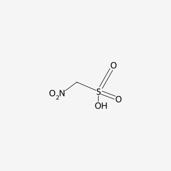 O=[N+]([O-])CS(=O)(=O)O